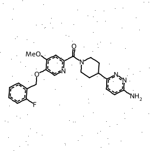 COc1cc(C(=O)N2CCC(c3ccc(N)nn3)CC2)ncc1OCc1ccccc1F